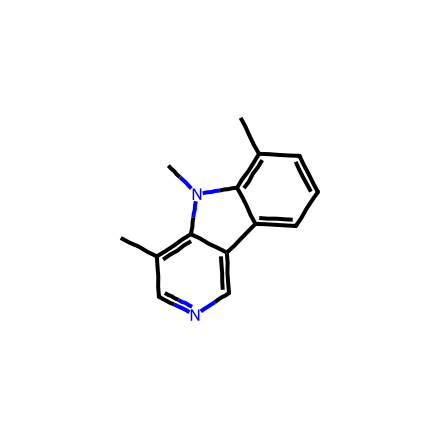 Cc1cccc2c3cncc(C)c3n(C)c12